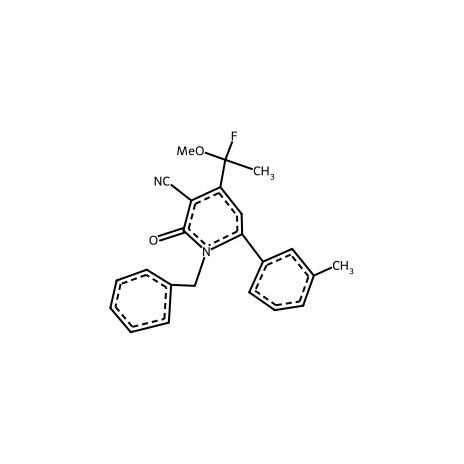 COC(C)(F)c1cc(-c2cccc(C)c2)n(Cc2ccccc2)c(=O)c1C#N